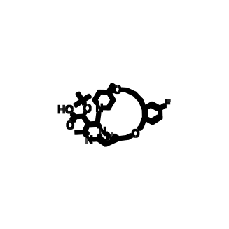 Cc1nc2cc3nn2c(c1[C@H](OC(C)(C)C)C(=O)O)N1CCC(C)(CC1)OCCCc1cc(F)ccc1COC3